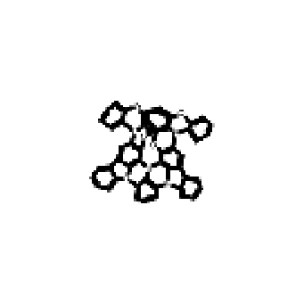 c1ccc2c(c1)Oc1cccc3c1B2c1cc2c4ccccc4n4c2c(c1O3)B1c2c-4cccc2-n2c3ccccc3c3cc4c(c1c32)Oc1cccc2c1B4c1ccccc1O2